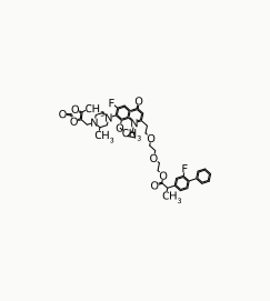 COc1c(N2CCN(Cc3oc(=O)oc3C)C(C)C2)c(F)cc2c(=O)cc(CCOCCOCCOC(=O)C(C)c3ccc(-c4ccccc4)c(F)c3)n(C3CC3)c12